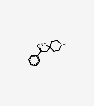 N#CC1(CC(=O)c2ccccc2)CCNCC1